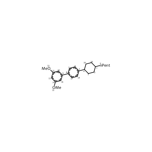 CCCCCC1CCC(c2ccc(-c3cc(OC)cc(OC)c3)cc2)CC1